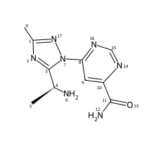 Cc1nc([C@H](C)N)n(-c2cc(C(N)=O)ncn2)n1